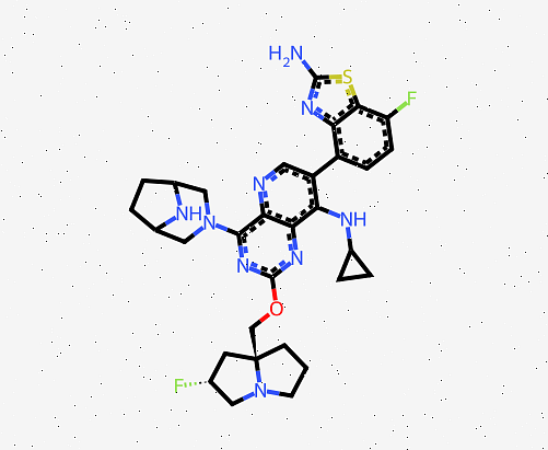 Nc1nc2c(-c3cnc4c(N5CC6CCC(C5)N6)nc(OC[C@@]56CCCN5C[C@H](F)C6)nc4c3NC3CC3)ccc(F)c2s1